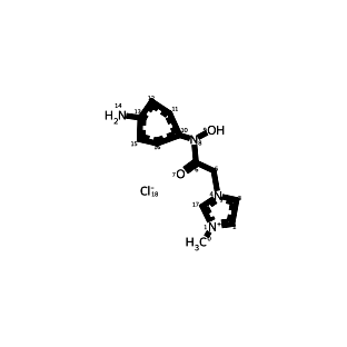 C[n+]1ccn(CC(=O)N(O)c2ccc(N)cc2)c1.[Cl-]